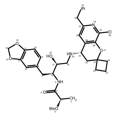 CO[C@H](C)C(=O)N[C@@H](Cc1ccc2c(c1)OCO2)[C@@H](O)CN[C@H]1CC2(CCC2)Oc2c1cc(CC(C)C)nc2Cl